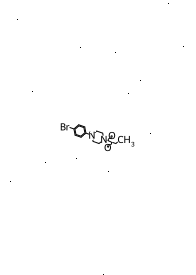 CCS(=O)(=O)N1CCN(c2ccc(Br)cc2)CC1